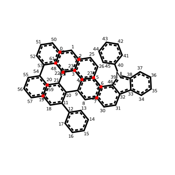 c1ccc(-c2ccccc2-c2c(-c3ccccc3)cccc2N(c2cccc(-c3cccc4c5ccccc5n(-c5ccccc5)c34)c2)c2ccccc2-c2ccccc2)cc1